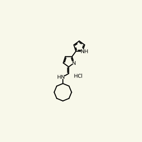 C1=C/C(=C\NC2CCCCCCC2)N=C1c1ccc[nH]1.Cl